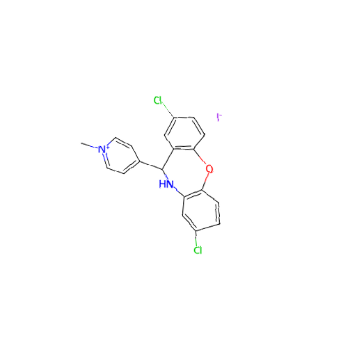 C[n+]1ccc(C2Nc3cc(Cl)ccc3Oc3ccc(Cl)cc32)cc1.[I-]